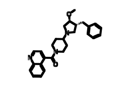 CO[C@@H]1CN(C2CCN(C(=O)c3ccnc4ccccc34)CC2)C[C@H]1Cc1ccccc1